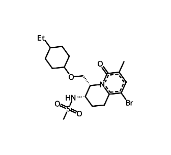 CCC1CCC(OC[C@H]2[C@@H](NS(C)(=O)=O)CCc3c(Br)cc(C)c(=O)n32)CC1